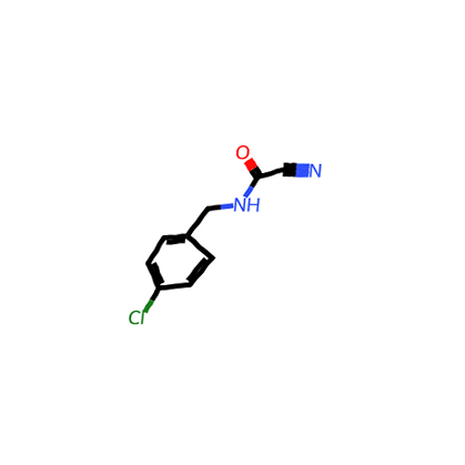 N#CC(=O)NCc1ccc(Cl)cc1